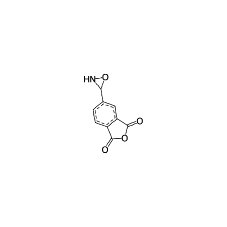 O=C1OC(=O)c2cc(C3NO3)ccc21